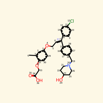 Cc1cc(OC/C=C(/c2ccc(Cl)cc2)c2ccc(CN3CCC(O)CC3)cc2)ccc1OCC(=O)O